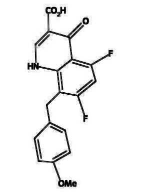 COc1ccc(Cc2c(F)cc(F)c3c(=O)c(C(=O)O)c[nH]c23)cc1